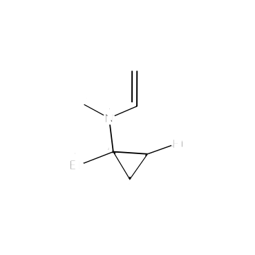 C=CN(C)C1(CC)CC1CC